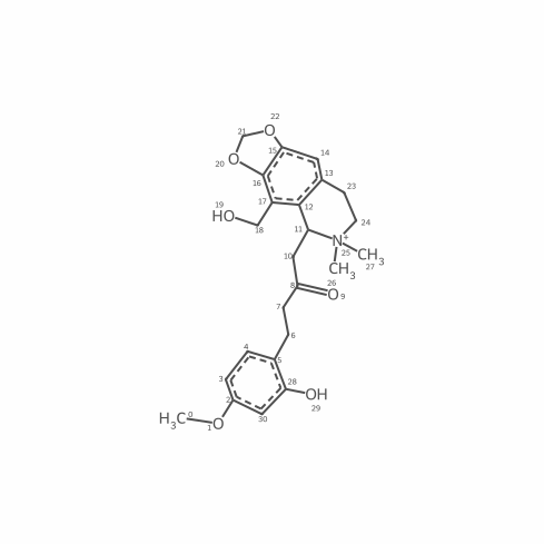 COc1ccc(CCC(=O)CC2c3c(cc4c(c3CO)OCO4)CC[N+]2(C)C)c(O)c1